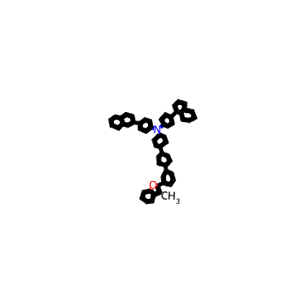 Cc1c(-c2cccc(-c3ccc(-c4ccc(N(c5ccc(-c6ccc7ccccc7c6)cc5)c5ccc(-c6cccc7ccccc67)cc5)cc4)cc3)c2)oc2ccccc12